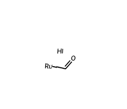 I.O=[CH][Ru]